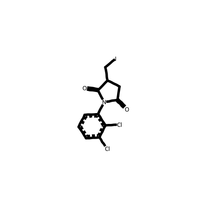 O=C1CC(CI)C(=O)N1c1cccc(Cl)c1Cl